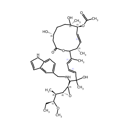 CC[C@H](OC)[C@@H](C)[C@H]1O[C@@H]1C(NCc1ccc2[nH]ccc2c1)C(C)(O)/C=C/C=C(\C)C1OC(=O)C[C@H](O)CC[C@@](C)(O)[C@@H](OC(C)=O)/C=C/[C@@H]1C